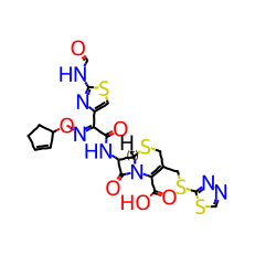 O=CNc1nc(C(=NOC2C=CCC2)C(=O)NC2C(=O)N3C(C(=O)O)=C(CSc4nncs4)CS[C@@H]23)cs1